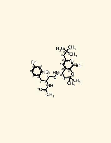 CC(=O)N[C@@H](Cc1ccc(F)cc1)[C@H](O)CN[C@H]1CC(C)(C)Oc2c1cc(CC(C)(C)C)nc2Cl